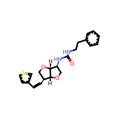 O=C(NCCc1ccccc1)N[C@H]1CO[C@H]2[C@@H]1OC[C@@H]2/C=C\c1ccsc1